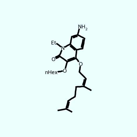 CCCCCCOc1c(OCC=C(C)CCC=C(C)C)c2ccc(N)cc2n(CC)c1=O